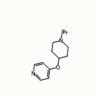 CC(C)N1CCC(Oc2ccncc2)CC1